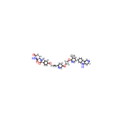 Cc1cc(-c2ccc3c(c2)[nH]c2ccncc23)cnc1OC1CC(Oc2ccc(C#CCOc3ccc4c(c3)CN(C3CCC(=O)NC3=O)C4=O)nc2)C1